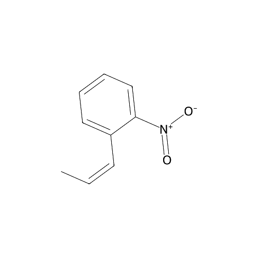 C/C=C\c1ccccc1[N+](=O)[O-]